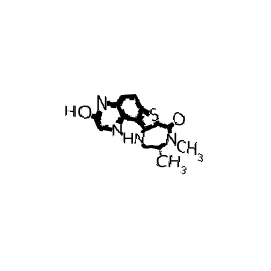 C[C@@H]1CNc2c(sc3ccc4nc(O)cnc4c23)C(=O)N1C